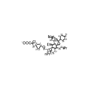 CCCC1(CCCOc2ccc(CC(Cl)C(=O)[O-])cc2)CCc2c(CCC(C)C)c(OC(=O)c3ccc(C)cc3)c(CCC(C)C)c(CC)c2O1.[Na+]